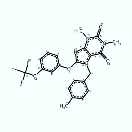 Cc1ccc(Cn2c(Oc3cccc(OC(F)(F)F)c3)nc3c2c(=O)n(C)c(=O)n3C)cc1